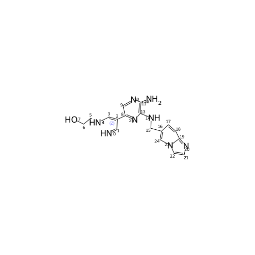 N=C/C(=C\NCCO)c1cnc(N)c(NCc2ccc3nccn3c2)n1